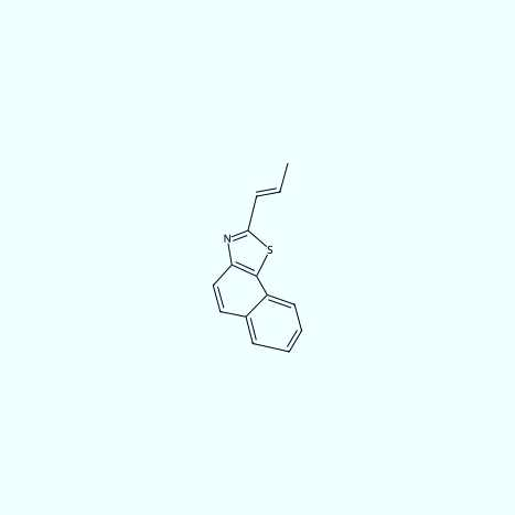 CC=Cc1nc2ccc3ccccc3c2s1